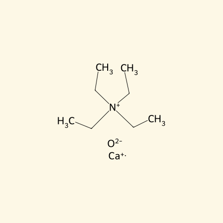 CC[N+](CC)(CC)CC.[Ca+].[O-2]